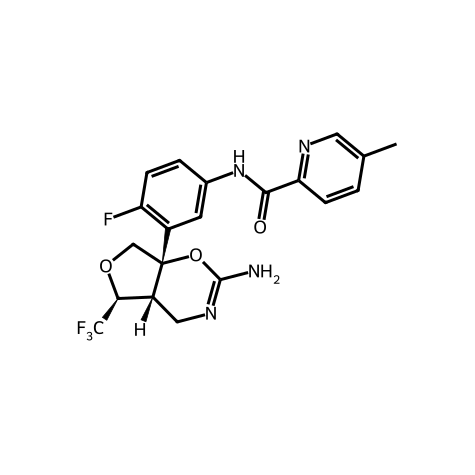 Cc1ccc(C(=O)Nc2ccc(F)c([C@]34CO[C@H](C(F)(F)F)[C@H]3CN=C(N)O4)c2)nc1